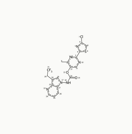 Cc1nc(-c2nc(Cl)cs2)ncc1OC(=O)Nn1cc(CC(F)(F)F)c2ncccc21